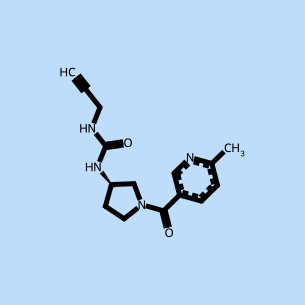 C#CCNC(=O)N[C@@H]1CCN(C(=O)c2ccc(C)nc2)C1